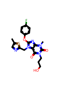 Cc1cnc(Cn2c(Oc3ccc(F)cc3)nc3c2c(=O)n(CCCO)c(=O)n3C)s1